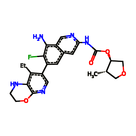 CCc1c(-c2cc3cc(NC(=O)O[C@H]4COC[C@@H]4C)ncc3c(N)c2F)cnc2c1NCCO2